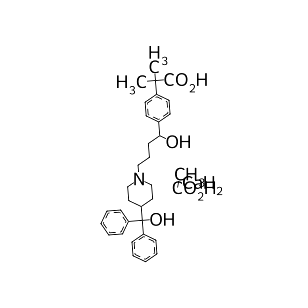 CC(=O)O.CC(C)(C(=O)O)c1ccc(C(O)CCCN2CCC(C(O)(c3ccccc3)c3ccccc3)CC2)cc1.[CaH2]